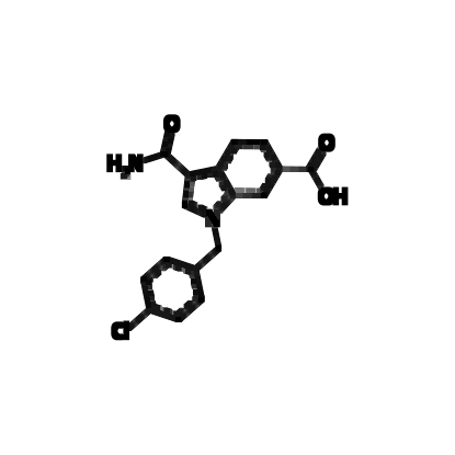 NC(=O)c1cn(Cc2ccc(Cl)cc2)c2cc(C(=O)O)ccc12